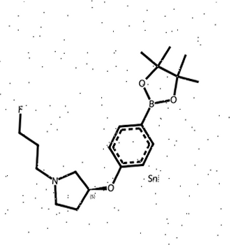 CC1(C)OB(c2ccc(O[C@H]3CCN(CCCF)C3)cc2)OC1(C)C.[Sn]